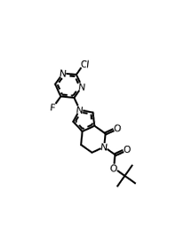 CC(C)(C)OC(=O)N1CCc2cn(-c3nc(Cl)ncc3F)cc2C1=O